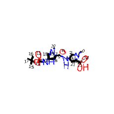 CN1CC(NC(=O)c2cc(NC(=O)OC(C)(C)C)cn2C)C=C1C(=O)O